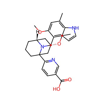 CCO[C@H]1C[C@H]2CCCC(c3ccc(C(=O)O)cn3)(C1)N2Cc1c(OC)cc(C)c2[nH]ccc12